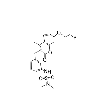 Cc1c(Cc2cccc(NS(=O)(=O)N(C)C)c2)c(=O)oc2cc(OCCF)ccc12